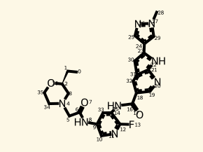 CC[C@H]1CN(CC(=O)Nc2cnc(F)c(NC(=O)c3cnc4[nH]c(-c5cnn(C)c5)cc4c3)c2)CCO1